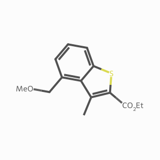 CCOC(=O)c1sc2cccc(COC)c2c1C